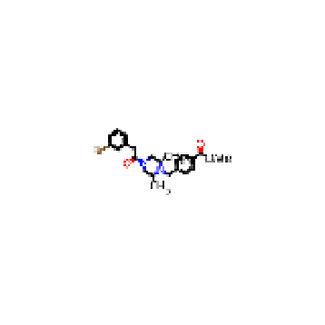 COC(=O)c1ccc(CN2[C@H](C)CN(C(=O)Cc3cccc(Br)c3)C[C@@H]2C)cc1